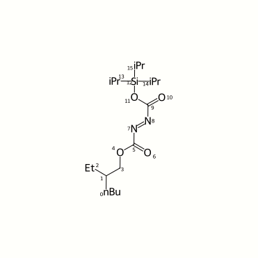 CCCCC(CC)COC(=O)/N=N/C(=O)O[Si](C(C)C)(C(C)C)C(C)C